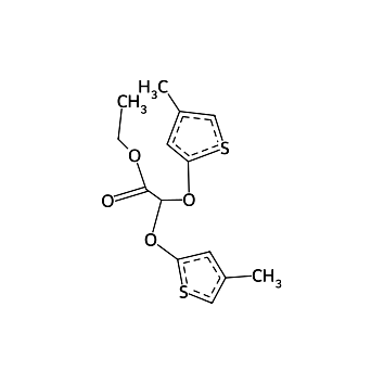 CCOC(=O)C(Oc1cc(C)cs1)Oc1cc(C)cs1